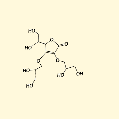 O=C1OC(C(O)CO)C(OCC(O)CO)=C1OCC(O)CO